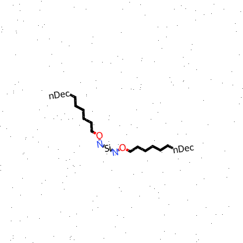 CCCCCCCCCCCCCCCCON=[Si]=NOCCCCCCCCCCCCCCCC